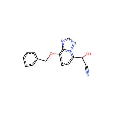 N#CC(O)c1ccc(OCc2ccccc2)c2ncnn12